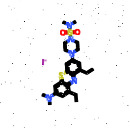 CCc1cc(N(C)C)cc2[s+]c3cc(N4CCN(S(=O)(=O)N(C)C)CC4)cc(CC)c3nc12.[I-]